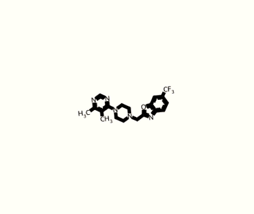 Cc1ncnc(N2CCN(Cc3nc4ccc(C(F)(F)F)cc4o3)CC2)c1C